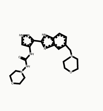 O=C(Nc1c[nH]nc1-c1nc2cc(CN3CCOCC3)ccc2[nH]1)NN1CCOCC1